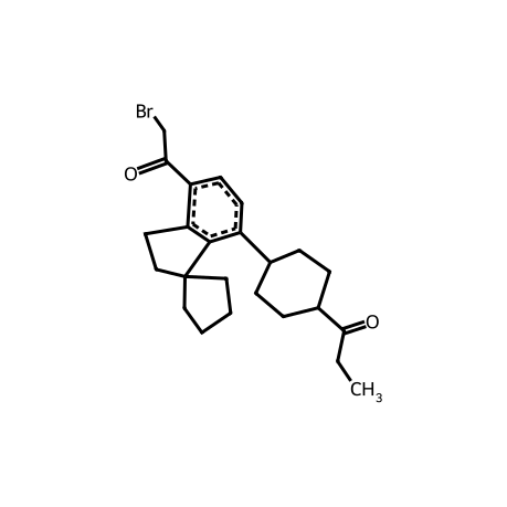 CCC(=O)C1CCC(c2ccc(C(=O)CBr)c3c2C2(CCCC2)CC3)CC1